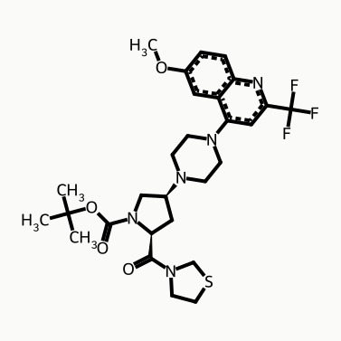 COc1ccc2nc(C(F)(F)F)cc(N3CCN([C@H]4C[C@@H](C(=O)N5CCSC5)N(C(=O)OC(C)(C)C)C4)CC3)c2c1